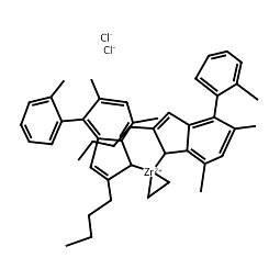 CCCCC1=Cc2c(-c3ccccc3C)c(C)cc(C)c2[CH]1[Zr+2]1([CH]2C(CCCC)=Cc3c(-c4ccccc4C)c(C)cc(C)c32)[CH2][CH2]1.[Cl-].[Cl-]